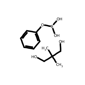 CC(C)(CO)CO.OB(O)Oc1ccccc1